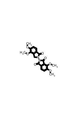 COc1ccc2c(c1OC)CN(N1C(=O)c3ccc(OC)c(OC)c3C1=O)C2=O